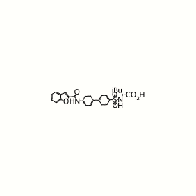 CC[C@@H](C)[C@@H](NS(=O)(=O)c1ccc(-c2ccc(NC(=O)c3cc4ccccc4o3)cc2)cc1)C(=O)O